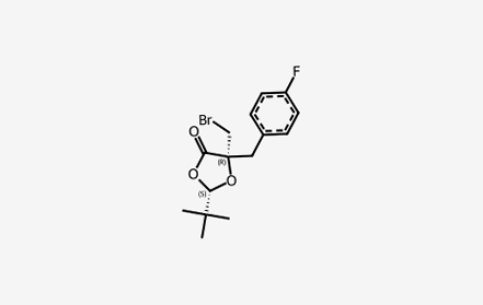 CC(C)(C)[C@@H]1OC(=O)[C@@](CBr)(Cc2ccc(F)cc2)O1